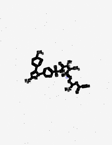 COC(=O)OC(C)O/N=[N+](\[O-])N(C)[C@H](C(=O)NS(=O)(=O)c1ccc(-n2nc(C(F)(F)F)cc2-c2ccc(C)cc2)cc1)C(C)C